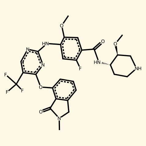 COc1cc(C(=O)N[C@H]2CCNC[C@@H]2OC)c(F)cc1Nc1ncc(C(F)(F)F)c(Oc2cccc3c2C(=O)N(C)C3)n1